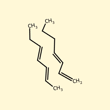 C=CC=CCCC.CC=CC=CCC